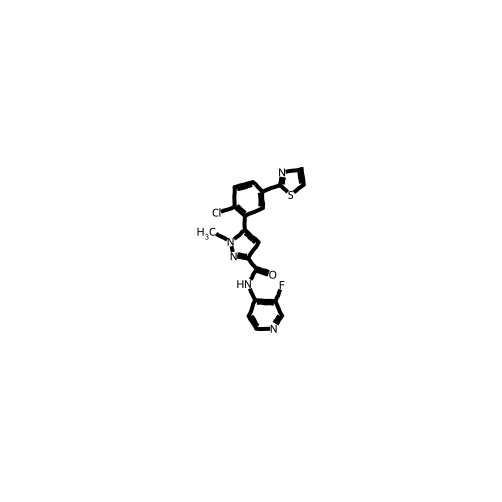 Cn1nc(C(=O)Nc2ccncc2F)cc1-c1cc(-c2nccs2)ccc1Cl